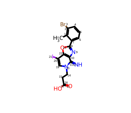 Cc1c(Br)cccc1-c1nc2c(=N)n(CCC(=O)O)cc(I)c2o1